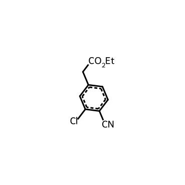 CCOC(=O)Cc1ccc(C#N)c(Cl)c1